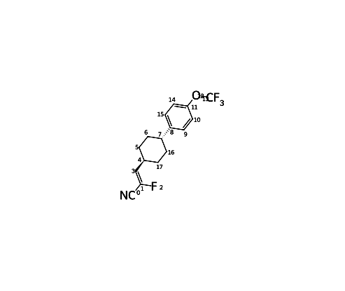 N#C/C(F)=C/[C@H]1CC[C@H](c2ccc(OC(F)(F)F)cc2)CC1